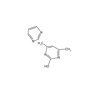 Cc1cc(C)nc(O)n1.c1cncnc1